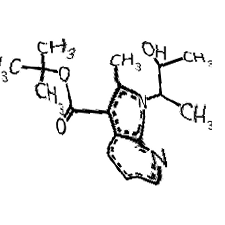 Cc1c(C(=O)OC(C)(C)C)c2cccnc2n1C(C)C(C)O